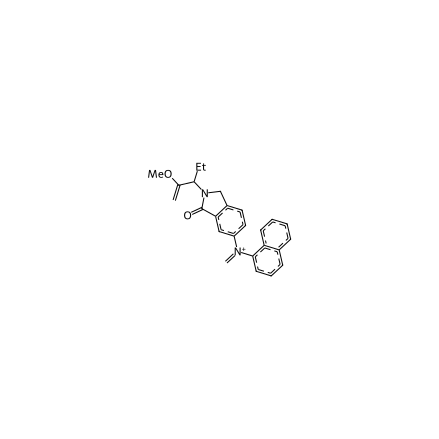 C=C(OC)C(CC)N1Cc2ccc([N+](=C)c3cccc4ccccc34)cc2C1=O